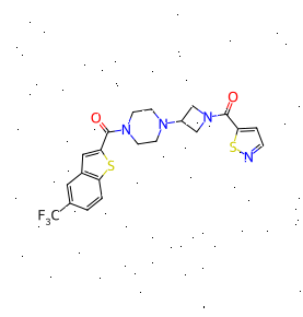 O=C(c1ccns1)N1CC(N2CCN(C(=O)c3cc4cc(C(F)(F)F)ccc4s3)CC2)C1